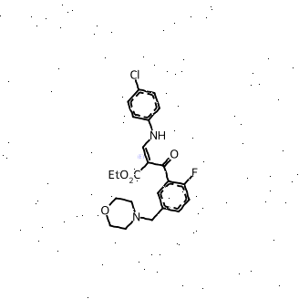 CCOC(=O)/C(=C/Nc1ccc(Cl)cc1)C(=O)c1cc(CN2CCOCC2)ccc1F